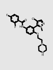 Cn1ncc(Cl)c1-c1cc(NC(=O)c2ccc(F)cc2F)ccc1OCCN1CCNCC1